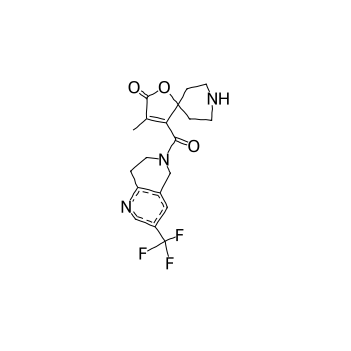 CC1=C(C(=O)N2CCc3ncc(C(F)(F)F)cc3C2)C2(CCNCC2)OC1=O